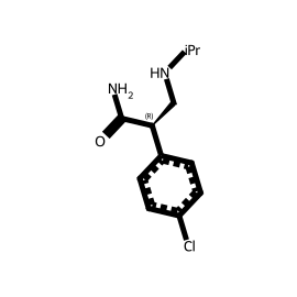 CC(C)NC[C@H](C(N)=O)c1ccc(Cl)cc1